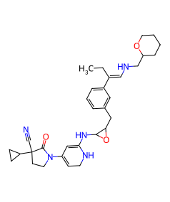 CC/C(=C\NCC1CCCCO1)c1cccc(CC2OC2NC2=CC(N3CCC(C#N)(C4CC4)C3=O)=CCN2)c1